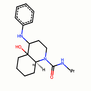 CC(C)NC(=O)N1CCC(Nc2ccccc2)C2(O)CCCC[C@H]12